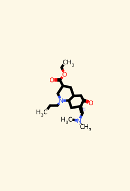 CCCN1CC(C(=O)OCC)CC2CC(=O)/C(=C/N(C)C)CC21